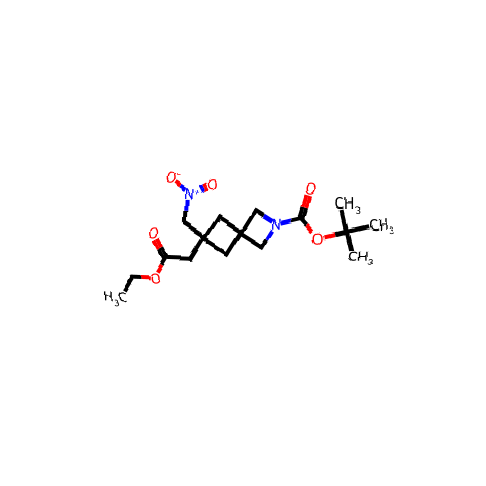 CCOC(=O)CC1(C[N+](=O)[O-])CC2(CN(C(=O)OC(C)(C)C)C2)C1